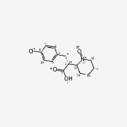 O=C(O)[C@H](Cc1ccc(Cl)cc1)C1CCCC[N+]1=O